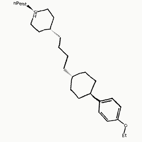 CCCCC[Si@H]1CC[C@H](CCCC[C@H]2CC[C@H](c3ccc(OCC)cc3)CC2)CC1